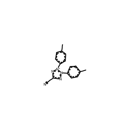 Cc1ccc(-n2nc(C#N)n[n+]2-c2ccc(C)cc2)cc1